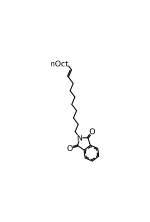 CCCCCCCCC=CCCCCCCCCN1C(=O)c2ccccc2C1=O